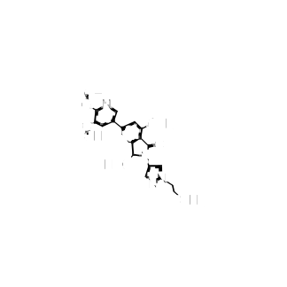 CCCn1cc(N2C(=O)c3c(C)cc(-c4cnc(OC)c(OC)c4)nc3C2C)cn1